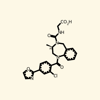 C[C@@H]1CN(C(=O)c2ccc(-c3ncco3)cc2Cl)c2ccccc2CN1C(=O)NCC(=O)O